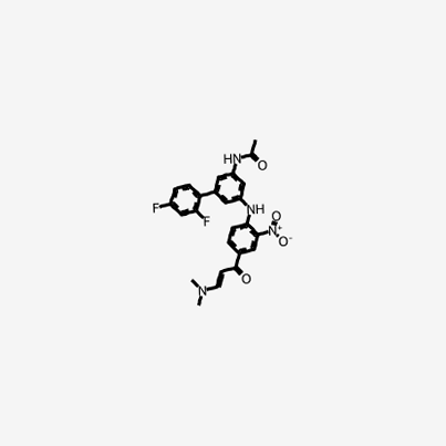 CC(=O)Nc1cc(Nc2ccc(C(=O)C=CN(C)C)cc2[N+](=O)[O-])cc(-c2ccc(F)cc2F)c1